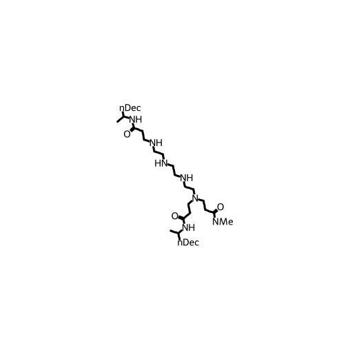 CCCCCCCCCCC(C)NC(=O)CCNCCNCCNCCN(CCC(=O)NC)CCC(=O)NC(C)CCCCCCCCCC